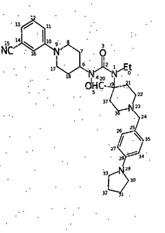 CCN(C(=O)N(C)C1CCN(c2cccc(C#N)c2)CC1)C1(C=O)CCN(Cc2ccc(N3CCCC3)cc2)CC1